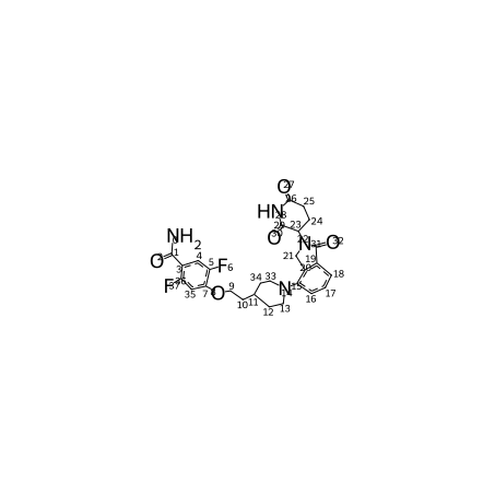 NC(=O)c1cc(F)c(OCCC2CCN(c3cccc4c3CN(C3CCC(=O)NC3=O)C4=O)CC2)cc1F